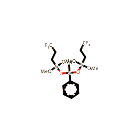 CO[Si](CCC(F)(F)F)(OC)O[Si](C)(O[Si](CCC(F)(F)F)(OC)OC)c1ccccc1